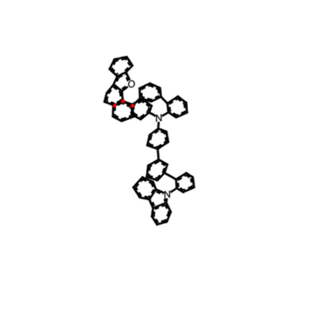 c1ccc(-c2cccc(-c3ccccc3N(c3ccc(-c4cccc(-c5ccccc5-n5c6ccccc6c6ccccc65)c4)cc3)c3ccc(-c4cccc5c4oc4ccccc45)cc3)c2)cc1